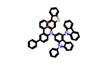 c1ccc(-c2ccc(N(c3ccc4c(c3)sc3ccccc34)c3cc(-n4c5ccccc5c5ccccc54)c4c5ccccc5n(-c5ccccc5)c4c3)c(-c3ccccc3)c2)cc1